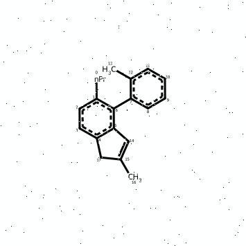 CCCc1ccc2c(c1-c1ccccc1C)C=C(C)[CH]2